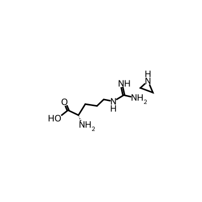 C1CN1.N=C(N)NCCC[C@H](N)C(=O)O